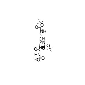 CC(C)(C)OC(=O)NCCC[C@@H](CNC(=O)CNC(=O)O)NC(=O)OC(C)(C)C